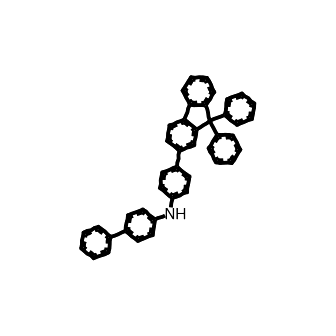 c1ccc(-c2ccc(Nc3ccc(-c4ccc5c(c4)C(c4ccccc4)(c4ccccc4)c4ccccc4-5)cc3)cc2)cc1